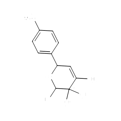 CCC1OC(c2ccc(OC)cc2)C=C(C)C1(C)C